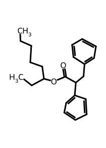 CCCCCC(CC)OC(=O)C(Cc1ccccc1)c1ccccc1